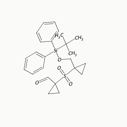 CC(C)(C)[Si](OCC1(S(=O)(=O)C2(C=O)CC2)CC1)(c1ccccc1)c1ccccc1